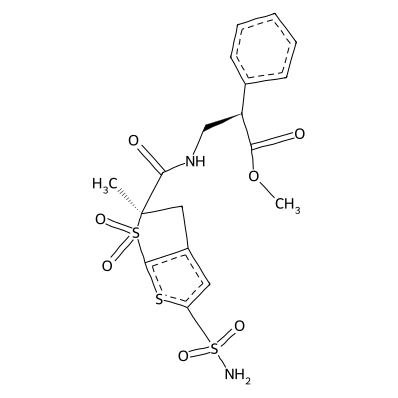 COC(=O)[C@@H](CNC(=O)[C@@]1(C)Cc2cc(S(N)(=O)=O)sc2S1(=O)=O)c1ccccc1